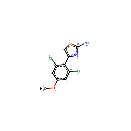 COc1cc(Cl)c(-c2csc(N)n2)c(Cl)c1